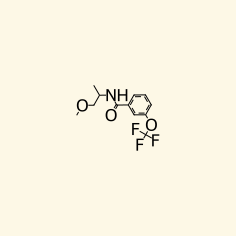 COCC(C)NC(=O)c1cccc(OC(F)(F)F)c1